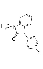 CN1C(=O)C(c2ccc(Cl)cc2)c2ccccc21